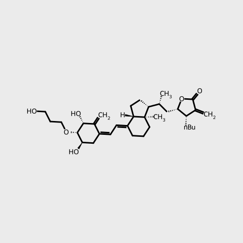 C=C1/C(=C\C=C2/CCC[C@]3(C)[C@@H]([C@H](C)C[C@@H]4OC(=O)C(=C)[C@@H]4CCCC)CC[C@@H]23)C[C@@H](O)[C@H](OCCCO)[C@@H]1O